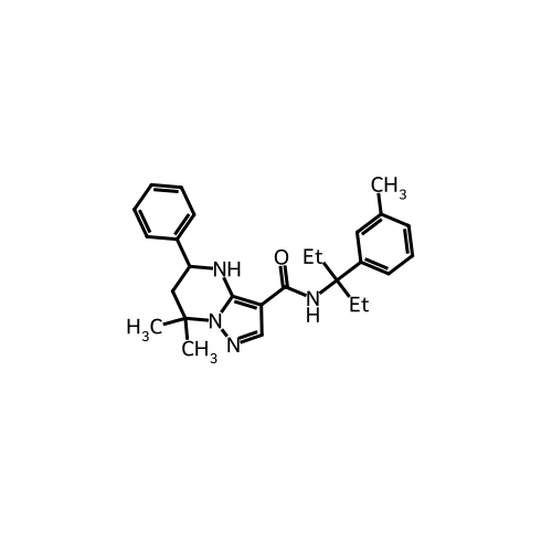 CCC(CC)(NC(=O)c1cnn2c1NC(c1ccccc1)CC2(C)C)c1cccc(C)c1